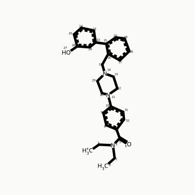 CCN(CC)C(=O)c1ccc(N2CCN(Cc3ccccc3-c3cccc(O)c3)CC2)cc1